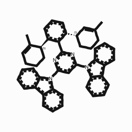 CC1=C[C@@H](c2cccc([C@H]3CCCC=C3C)c2-c2nc(-n3c4ccccc4c4ccccc43)cc(-n3c4ccccc4c4ccccc43)n2)CCC1